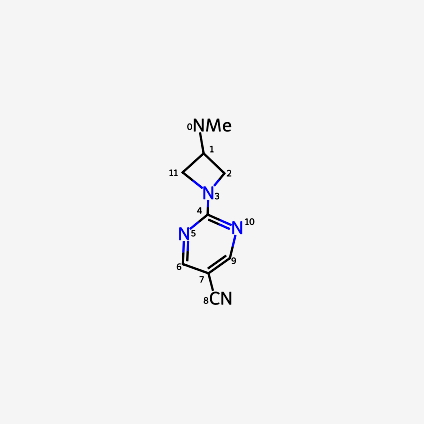 CNC1CN(c2ncc(C#N)cn2)C1